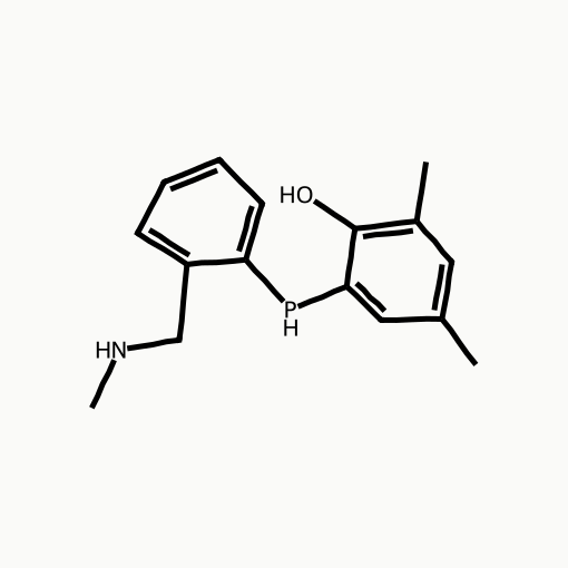 CNCc1ccccc1Pc1cc(C)cc(C)c1O